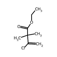 C=C(Cl)C(C)(C)C(=O)OCC